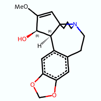 COC1=CC23CCCN2CCc2cc4c(cc2[C@H]3[C@H]1O)OCO4